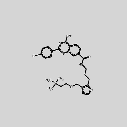 CCCc1nc(-c2ccc(Cl)cc2)nc2cc(C(=O)NCCCc3nccn3COCC[Si](C)(C)C)ccc12